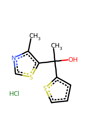 Cc1ncsc1C(C)(O)c1cccs1.Cl